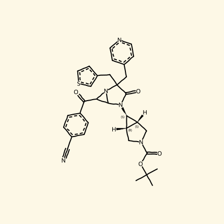 CC(C)(C)OC(=O)N1C[C@@H]2[C@H](C1)[C@H]2N1C(=O)C(Cc2ccncc2)(Cc2ccsc2)N2C(C(=O)c3ccc(C#N)cc3)C12